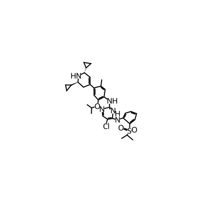 Cc1cc(Nc2ncc(Cl)c(Nc3ccccc3S(=O)(=O)C(C)C)n2)c(OC(C)C)cc1C1=C[C@@H](C2CC2)N[C@H](C2CC2)C1